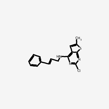 Cc1cc2c(NCC=Cc3ccccc3)nc(Cl)nc2s1